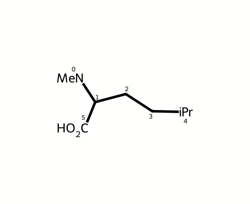 CNC(CCC(C)C)C(=O)O